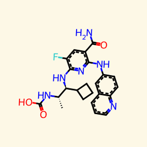 C[C@H](NC(=O)O)[C@@H](Nc1nc(Nc2ccc3ncccc3c2)c(C(N)=O)cc1F)C1CCC1